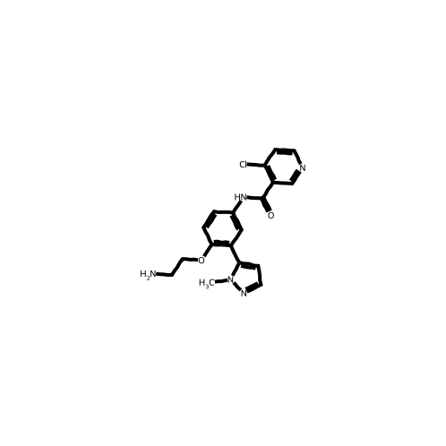 Cn1nccc1-c1cc(NC(=O)c2cnccc2Cl)ccc1OCCN